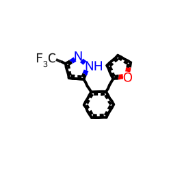 FC(F)(F)c1cc(-c2ccccc2-c2ccco2)[nH]n1